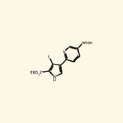 CCCCCCCCCc1ccc(-c2c[nH]c(C(=O)OCC)c2F)nc1